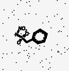 O=[N+]([O-])[N]S(=O)(=O)Cc1ccccc1